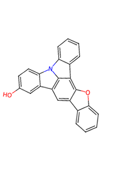 Oc1ccc2c(c1)c1cc3c4ccccc4oc3c3c4ccccc4n2c13